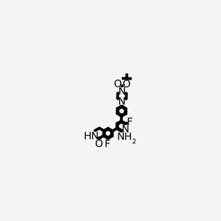 CC(C)(C)OC(=O)N1CCN(c2ccc(-c3cc(-c4cc(F)c5c(c4)CCNC5=O)c(N)nc3F)cc2)CC1